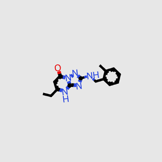 CCc1cc(=O)n2nc(NCc3ccccc3C)nc2[nH]1